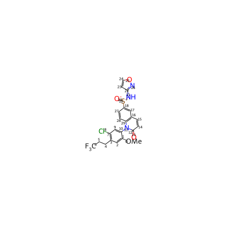 COc1cc(CCC(F)(F)F)c(Cl)cc1-n1c(=O)ccc2cc([S+]([O-])Nc3ccon3)ccc21